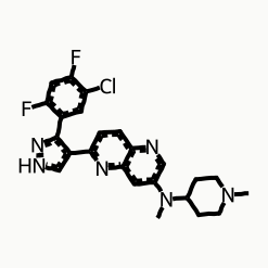 CN1CCC(N(C)c2cnc3ccc(-c4c[nH]nc4-c4cc(Cl)c(F)cc4F)nc3c2)CC1